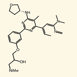 C=N/C(=C\C(=C/C)c1nc(-c2cccc(OCC(O)CNC)c2)nc(N[C@@H]2CCOC2)c1C)N(C)C